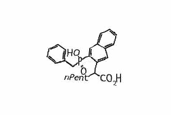 CCCCCC(C(=O)O)c1cc2ccccc2cc1P(=O)(O)Cc1ccccc1